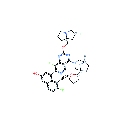 C#Cc1c(F)ccc2cc(O)cc(-c3ncc4c(N5C[C@H]6CC[C@@]([C@@H]7CCCO7)(C5)N6)nc(OC[C@@]56CCCN5C[C@H](F)C6)nc4c3F)c12